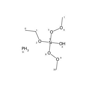 CCO[Si](O)(OOC)OOC.P